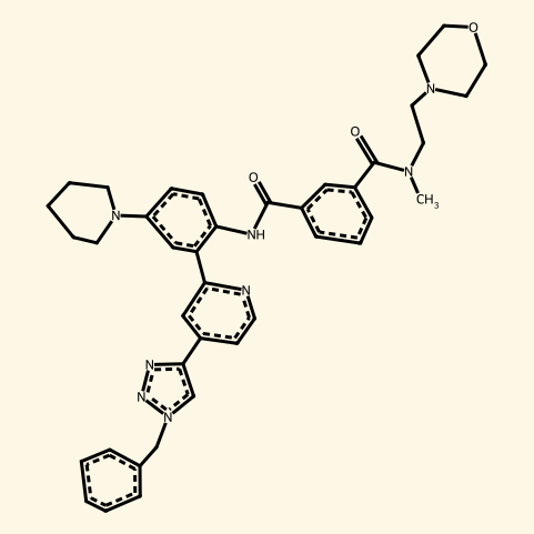 CN(CCN1CCOCC1)C(=O)c1cccc(C(=O)Nc2ccc(N3CCCCC3)cc2-c2cc(-c3cn(Cc4ccccc4)nn3)ccn2)c1